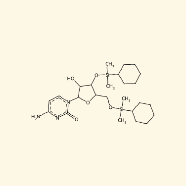 C[Si](C)(OCC1OC(n2ccc(N)nc2=O)C(O)C1O[Si](C)(C)C1CCCCC1)C1CCCCC1